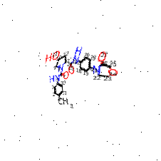 Cc1ccc(NC(=O)N2C[C@@H](O)C[C@@H]2C(=O)Nc2ccc(N3CCOCC3=O)cc2)cc1